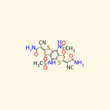 [C-]#[N+]C(C(N)=O)=C1Sc2c(NS(C)(=O)=O)c3c(c(NS(C)(=O)=O)c2S1)SC(=C(C#N)C(N)=O)S3